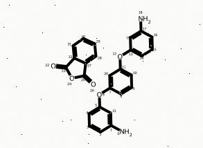 Nc1cccc(Oc2cccc(Oc3cccc(N)c3)c2)c1.O=C1OC(=O)c2ccccc21